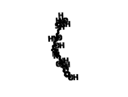 CC(/C=C(\O)CCNC(=O)CCCC[C@H]1SC[C@@H]2NC(=O)N[C@@H]21)Cn1cc(CCNC(=O)NC[C@H](Cc2ccc(O)cc2)N(C)C)nn1